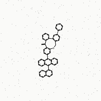 C=C1c2ccc(-c3c4ccccc4c(-c4cccc5ccccc45)c4ccccc34)cc2SCc2ccc(-c3ccccc3)cc2-c2ccccc21